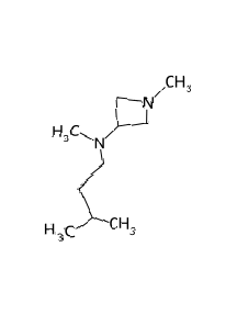 CC(C)CCN(C)C1CN(C)C1